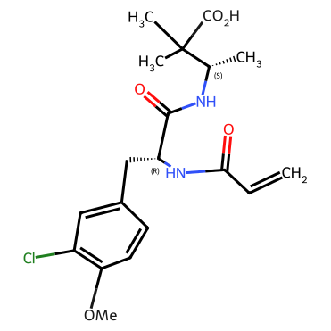 C=CC(=O)N[C@H](Cc1ccc(OC)c(Cl)c1)C(=O)N[C@@H](C)C(C)(C)C(=O)O